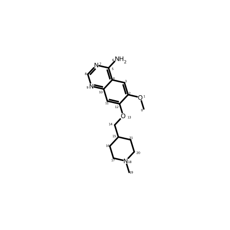 COc1cc2c(N)ncnc2cc1OCC1CCN(C)CC1